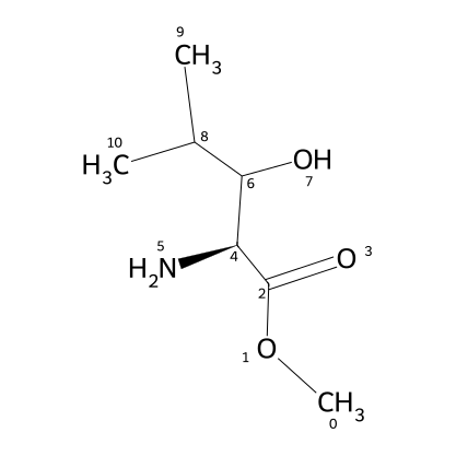 COC(=O)[C@@H](N)C(O)C(C)C